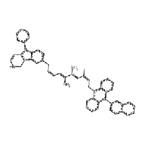 CC(=C/Cc1c2ccccc2c(-c2ccc3ccccc3c2)c2ccccc12)/C=C(N)/C(N)=C/C=C\Cc1ccc2c(c1)c1c(n2-c2ccccc2)C=CNC1